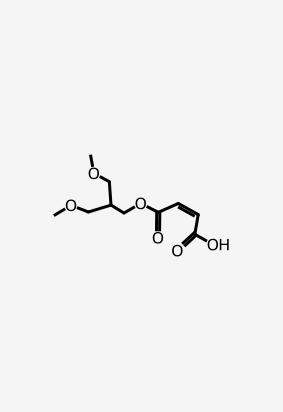 COCC(COC)COC(=O)/C=C\C(=O)O